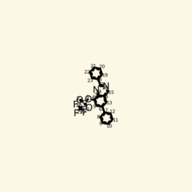 O=S(=O)(Oc1cc(-c2ccccc2)cc2cnc(-c3ccccc3)nc12)C(F)(F)F